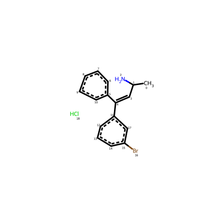 CC(N)/C=C(\c1ccccc1)c1cccc(Br)c1.Cl